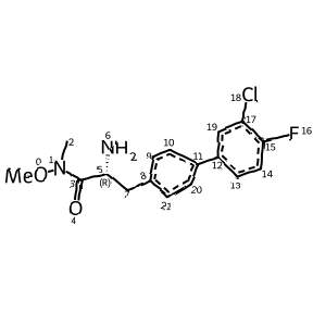 CON(C)C(=O)[C@H](N)Cc1ccc(-c2ccc(F)c(Cl)c2)cc1